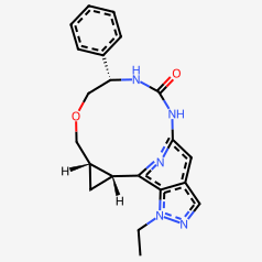 CCn1ncc2cc3nc(c21)[C@@H]1C[C@@H]1COC[C@H](c1ccccc1)NC(=O)N3